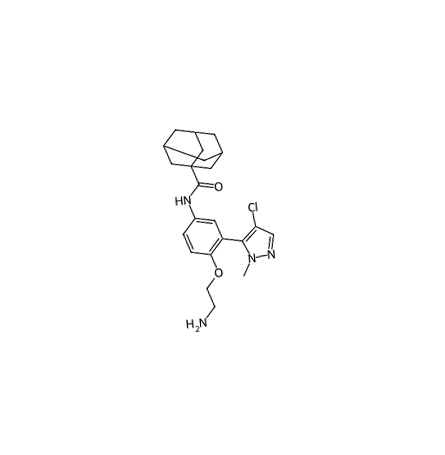 Cn1ncc(Cl)c1-c1cc(NC(=O)C23CC4CC(CC(C4)C2)C3)ccc1OCCN